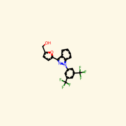 OCc1ccc(-c2nn(-c3cc(C(F)(F)F)cc(C(F)(F)F)c3)c3ccccc23)o1